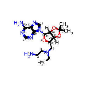 CCN(CCN)C[C@H]1O[C@@H](n2cnc3c(N)ncnc32)[C@@H]2OC(C)(C)O[C@@H]21